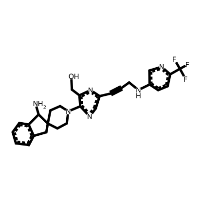 NC1c2ccccc2CC12CCN(c1ncc(C#CCNc3ccc(C(F)(F)F)nc3)nc1CO)CC2